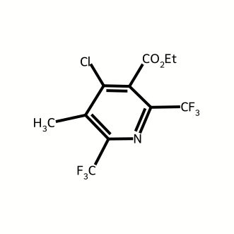 CCOC(=O)c1c(C(F)(F)F)nc(C(F)(F)F)c(C)c1Cl